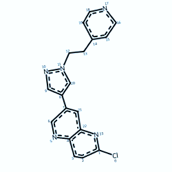 Clc1ccc2ncc(-c3cnn(CCc4ccncc4)c3)cc2n1